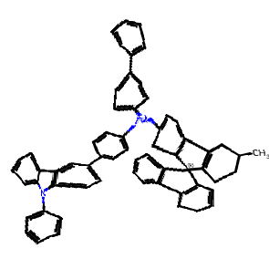 CC1CCC2=C(C1)C1=CC=C(N(c3ccc(-c4ccccc4)cc3)c3ccc(-c4ccc5c(c4)c4ccccc4n5-c4ccccc4)cc3)CC1[C@]21C2=C(CCC=C2)c2ccccc21